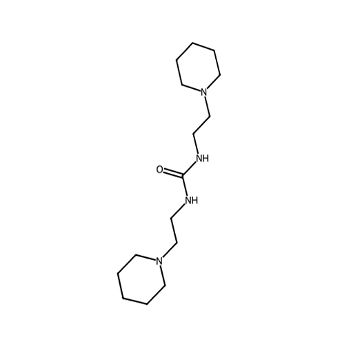 O=C(NCCN1CCCCC1)NCCN1CCCCC1